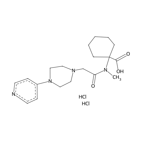 CN(C(=O)CN1CCN(c2ccncc2)CC1)C1(C(=O)O)CCCCC1.Cl.Cl